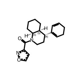 O=C(c1ccon1)N1CC[C@@H](C2=CCCC=C2)[C@@H]2CCCC[C@@H]21